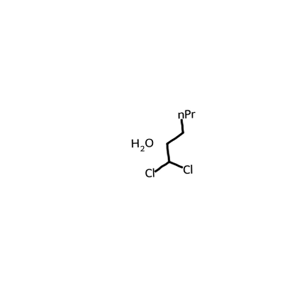 CCCCCC(Cl)Cl.O